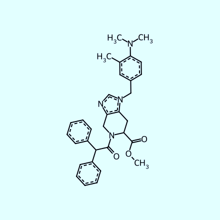 COC(=O)C1Cc2c(ncn2Cc2ccc(N(C)C)c(C)c2)CN1C(=O)C(c1ccccc1)c1ccccc1